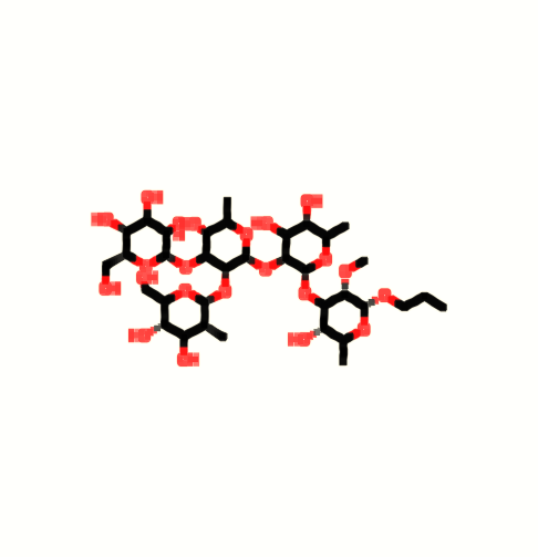 CCCO[C@@H]1OC(C)[C@H](O)C(O[C@@H]2OC(C)[C@H](O)C(O)[C@@H]2O[C@@H]2OC(C)[C@H](O)C(O[C@H]3O[C@@H](CO)[C@@H](O)C(O)C3O)[C@@H]2O[C@@H]2OC(CO)[C@@H](O)C(O)[C@@H]2C)[C@@H]1OC